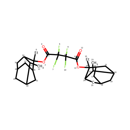 CCC1(OC(=O)C(F)(F)C(F)(F)C(=O)OC2(CC)C3CC4CC(C3)C(C)C2C4)C2CC3CC(C2)C(C)C1C3